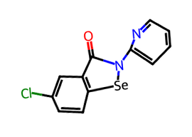 O=c1c2cc(Cl)ccc2[se]n1-c1ccccn1